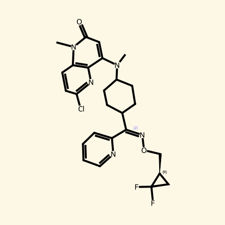 CN(c1cc(=O)n(C)c2ccc(Cl)nc12)C1CCC(/C(=N/OC[C@H]2CC2(F)F)c2ccccn2)CC1